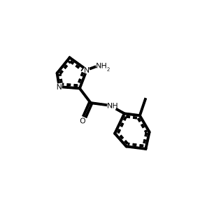 Cc1ccccc1NC(=O)c1nccn1N